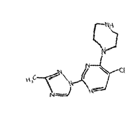 Cc1ncn(-c2ncc(Cl)c(N3CCNCC3)n2)n1